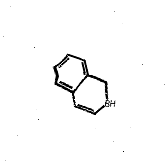 B1C=Cc2ccccc2C1